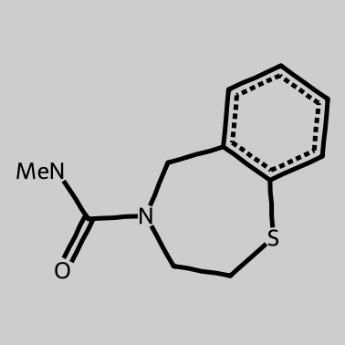 CNC(=O)N1CCSc2ccccc2C1